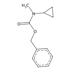 CN(C(=O)OCc1ccccc1)C1CC1